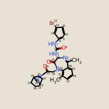 CC1=N[C@@H](NC(=O)Nc2cccc(Br)c2)C(=O)N(CC(=O)N2CC3CCC(CC3)C2)c2c(C)cccc21